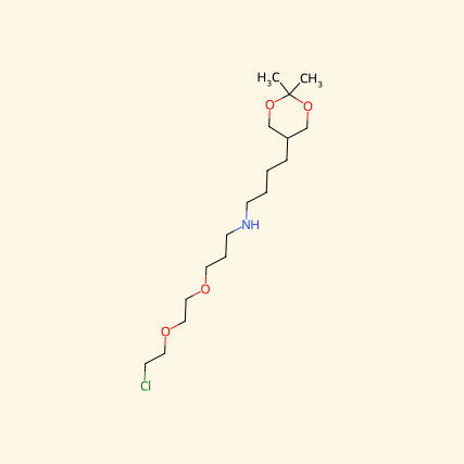 CC1(C)OCC(CCCCNCCCOCCOCCCl)CO1